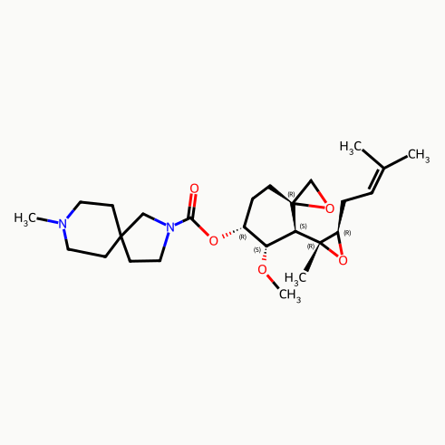 CO[C@@H]1[C@H](OC(=O)N2CCC3(CCN(C)CC3)C2)CC[C@]2(CO2)[C@H]1[C@@]1(C)O[C@@H]1CC=C(C)C